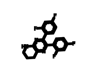 Fc1ccc(-c2nc3c(nc2-c2ccc(F)cc2F)NCCC3)c(F)c1